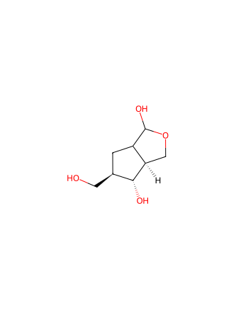 OC[C@H]1CC2C(O)OC[C@H]2[C@@H]1O